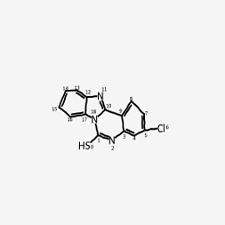 Sc1nc2cc(Cl)ccc2c2nc3ccccc3n12